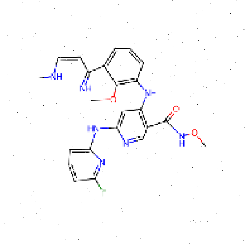 CN/C=C\C(=N)c1cccc(Nc2cc(Nc3cccc(F)n3)ncc2C(=O)NOC)c1OC